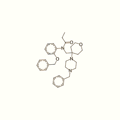 CCC(=O)N(CC1(N2CCN(Cc3ccccc3)CC2)CCOCC1)c1ccccc1OCc1ccccc1